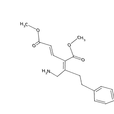 COC(=O)C=CC(C(=O)OC)=C(CN)CCc1ccccc1